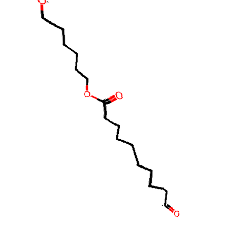 [O]CCCCCCOC(=O)CCCCCCCC[C]=O